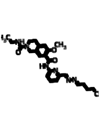 CCCC/C=N/N=C/c1cccc(NC(=O)c2cc3c(cc2OC)CCN(C(=O)NCC)C3)n1